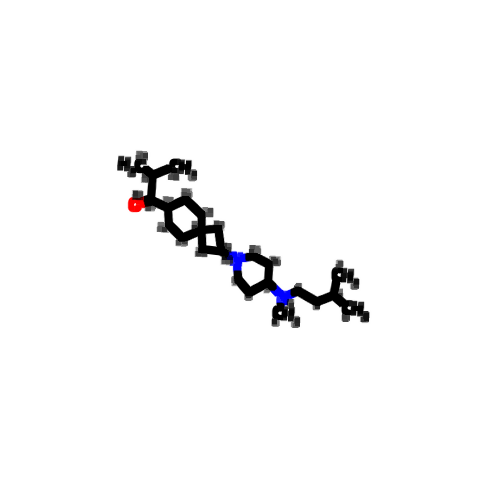 CC(C)CCN(C)C1CCN(C2CC3(CCC(C(=O)C(C)C)CC3)C2)CC1